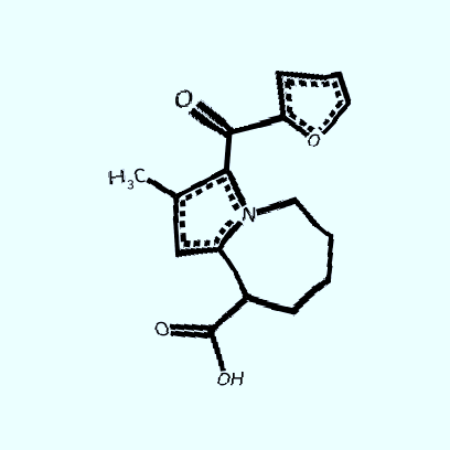 Cc1cc2n(c1C(=O)c1ccco1)CCCCC2C(=O)O